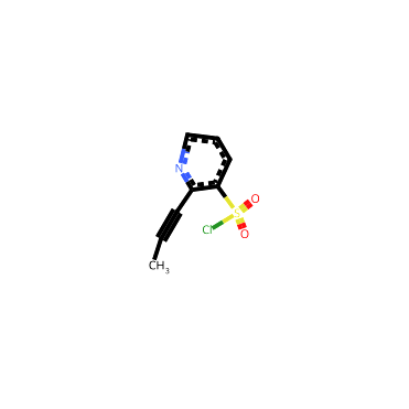 CC#Cc1ncccc1S(=O)(=O)Cl